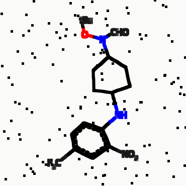 CC(C)(C)ON(C=O)C1CCC(Nc2ccc(C(F)(F)F)cc2[N+](=O)[O-])CC1